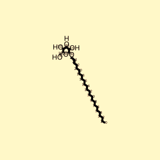 CCCCCCCCCCCCCCCCCCCCCCCCCCO[C@H]1O[C@H](CO)[C@@H](O)[C@H](O)[C@H]1O